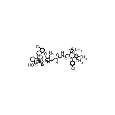 Cc1sc2c(c1C)C(c1ccc(Cl)cc1)=N[C@@H](CC(=O)NCC(=O)NCCn1nnc(COc3ccc(Cl)c4c3[C@@H](CN3CC5(CC5)CC3=O)N(C(=O)[C@@H]3CCCC[C@]3(C)C(=O)O)CC4)c1C)c1nnc(C)n1-2